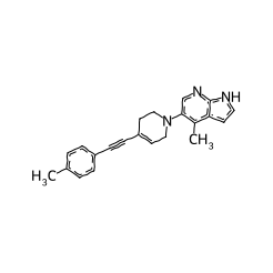 Cc1ccc(C#CC2=CCN(c3cnc4[nH]ccc4c3C)CC2)cc1